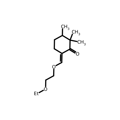 CCOCCOC=C1CCC(C)C(C)(C)C1=O